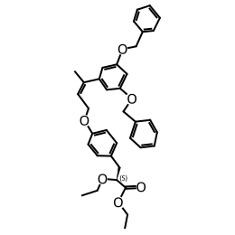 CCOC(=O)[C@H](Cc1ccc(OCC=C(C)c2cc(OCc3ccccc3)cc(OCc3ccccc3)c2)cc1)OCC